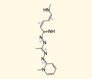 CN/C=C\C=C/C(=N)/N=N/C(C)=N/N=c1\ccccn1C